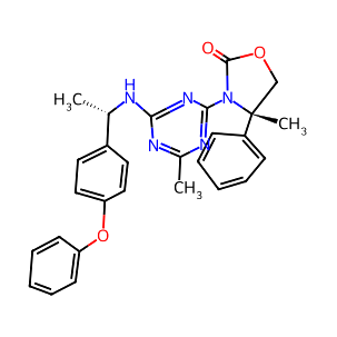 Cc1nc(N[C@@H](C)c2ccc(Oc3ccccc3)cc2)nc(N2C(=O)OC[C@]2(C)c2ccccc2)n1